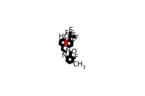 Cc1ccc2nc(Cc3ccccc3)n(-c3ccc(C(O)(C(F)(F)F)C(F)(F)F)cc3)c(=O)c2c1F